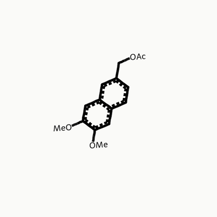 COc1cc2ccc(COC(C)=O)cc2cc1OC